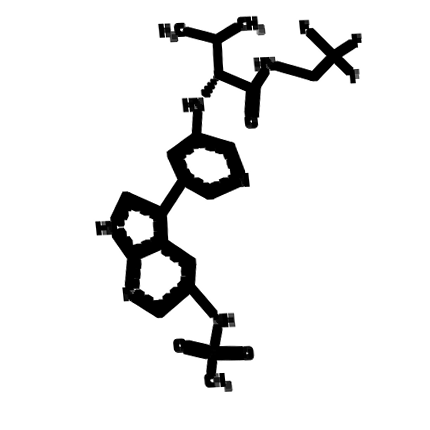 CC(C)[C@@H](Nc1cncc(-c2c[nH]c3ncc(NS(C)(=O)=O)cc23)c1)C(=O)NCC(F)(F)F